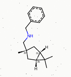 CC1(C)[C@@H]2C[C@](C)(CNCc3ccccc3)C[C@@H]21